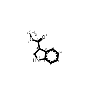 COC(=O)C1CNc2ccccc21